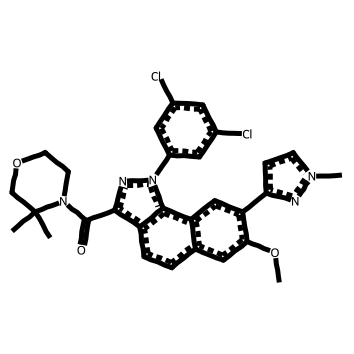 COc1cc2ccc3c(C(=O)N4CCOCC4(C)C)nn(-c4cc(Cl)cc(Cl)c4)c3c2cc1-c1ccn(C)n1